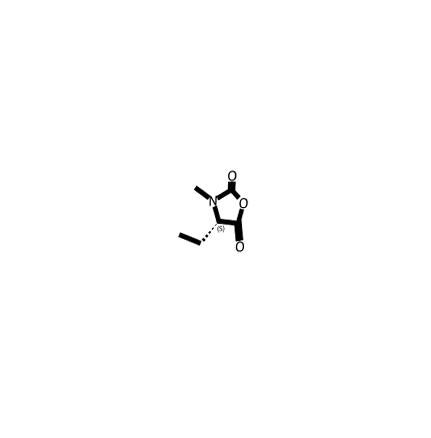 CC[C@H]1C(=O)OC(=O)N1C